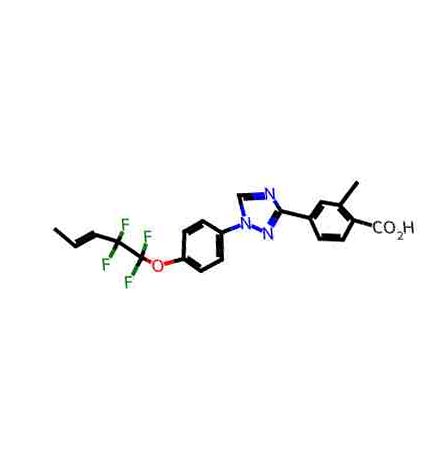 C/C=C/C(F)(F)C(F)(F)Oc1ccc(-n2cnc(-c3ccc(C(=O)O)c(C)c3)n2)cc1